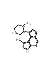 C[C@@H]1CCNC[C@@H]1n1ccc2cnc3[nH]cc(C#N)c3c21